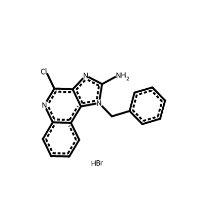 Br.Nc1nc2c(Cl)nc3ccccc3c2n1Cc1ccccc1